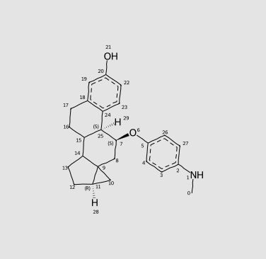 CNc1ccc(O[C@H]2CC34C[C@H]3CCC4C3CCc4cc(O)ccc4[C@H]32)cc1